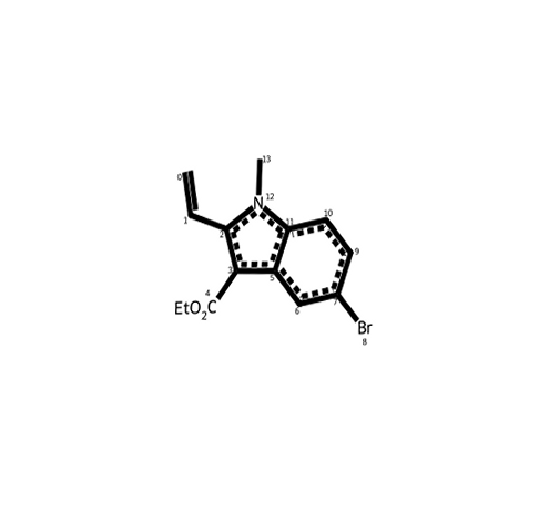 C=Cc1c(C(=O)OCC)c2cc(Br)ccc2n1C